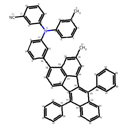 Cc1cccc(N(c2cccc(C#N)c2)c2cccc(-c3ccc4c5c(cc(C)cc35)-c3c-4c(-c4ccccc4)c4ccccc4c3-c3ccccc3)c2)c1